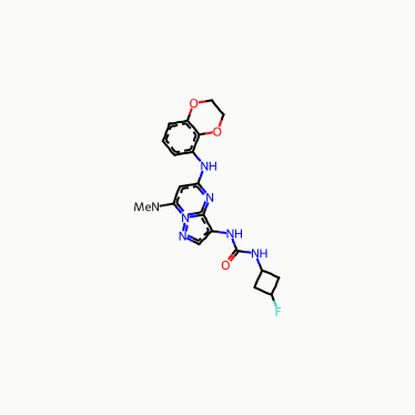 CNc1cc(Nc2cccc3c2OCCO3)nc2c(NC(=O)NC3CC(F)C3)cnn12